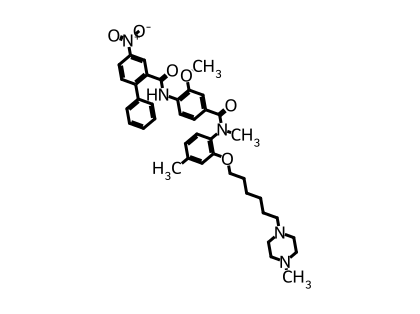 COc1cc(C(=O)N(C)c2ccc(C)cc2OCCCCCCN2CCN(C)CC2)ccc1NC(=O)c1cc([N+](=O)[O-])ccc1-c1ccccc1